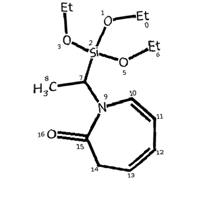 CCO[Si](OCC)(OCC)C(C)N1C=CC=CCC1=O